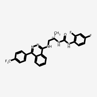 C[C@@H](CNc1nnc(-c2ccc(C(F)(F)F)cc2)c2ccccc12)NC(=O)Nc1ccc(F)cc1F